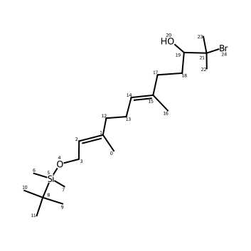 C/C(=C\CO[Si](C)(C)C(C)(C)C)CC/C=C(\C)CCC(O)C(C)(C)Br